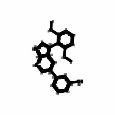 COc1cccc(OC)c1-c1c[nH]c2ncc(-c3cccc(O)c3)cc12